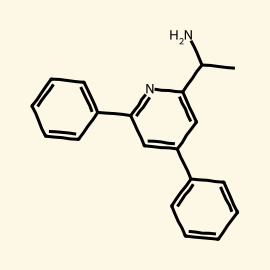 CC(N)c1cc(-c2ccccc2)cc(-c2ccccc2)n1